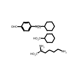 NC1CCCCC1.NCCCC[C@H](N)C(=O)O.O=C(O)C1CCCCC1.O=Cc1ccc([N+](=O)[O-])cc1